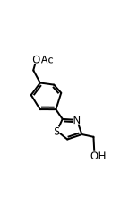 CC(=O)OCc1ccc(-c2nc(CO)cs2)cc1